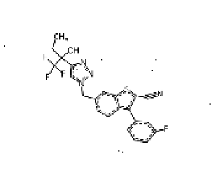 CCC(O)(c1cn(Cc2ccc3c(-c4cccc(F)c4)c(C#N)sc3c2)nn1)C(F)(F)F